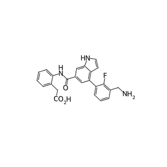 NCc1cccc(-c2cc(C(=O)Nc3ccccc3CC(=O)O)cc3[nH]ccc23)c1F